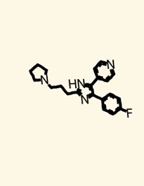 Fc1ccc(-c2nc(CCCN3CCCC3)[nH]c2-c2ccncc2)cc1